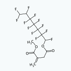 C=C(CC(=O)OC(F)C(F)(F)C(F)(F)C(F)(F)C(F)(F)C(F)C(F)F)C(=O)OC